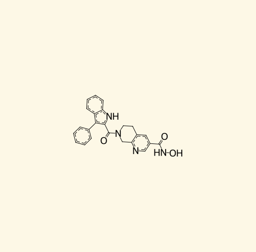 O=C(NO)c1cnc2c(c1)CCN(C(=O)c1[nH]c3ccccc3c1-c1ccccc1)C2